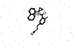 Cc1ccc(CCC#N)cc1C(=O)NC1(c2cccc3ccccc23)CC1